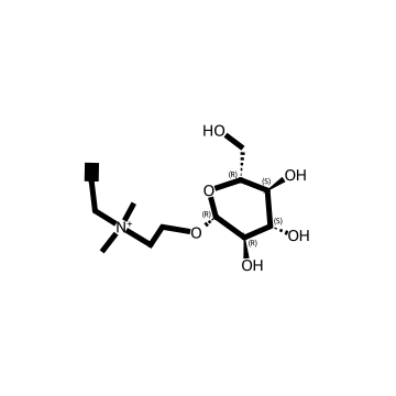 C#CC[N+](C)(C)CCO[C@@H]1O[C@H](CO)[C@@H](O)[C@H](O)[C@H]1O